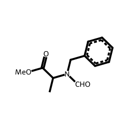 COC(=O)C(C)N(C=O)Cc1ccccc1